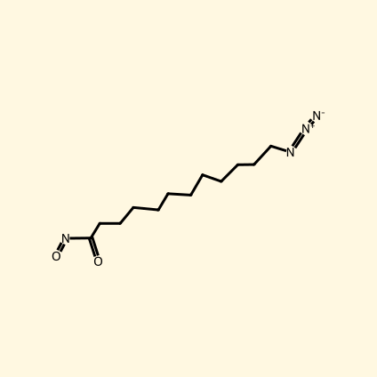 [N-]=[N+]=NCCCCCCCCCCCC(=O)N=O